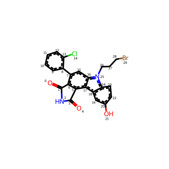 O=C1NC(=O)c2c1c(-c1ccccc1Cl)cc1c2c2cc(O)ccc2n1CCCBr